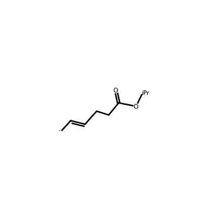 [CH2]C=CCCC(=O)OC(C)C